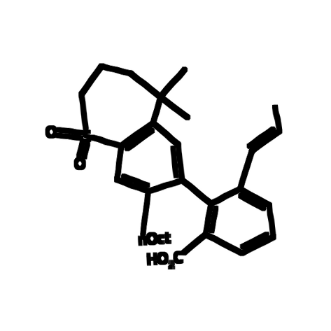 CC=Cc1cccc(C(=O)O)c1-c1cc2c(cc1CCCCCCCC)S(=O)(=O)CCCC2(C)C